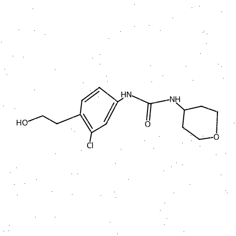 O=C(Nc1ccc(CCO)c(Cl)c1)NC1CCOCC1